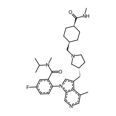 CNC(=O)[C@H]1CC[C@@H](CN2CC[C@H](Cc3cn(-c4ccc(F)cc4C(=O)N(C)C(C)C)c4cncc(C)c34)C2)CC1